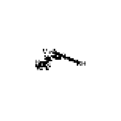 COc1cc(OCCCCCCO)ccc1CNC(=O)c1sc(C)c2c1C[C@@H]1[C@H]2C1(C)C